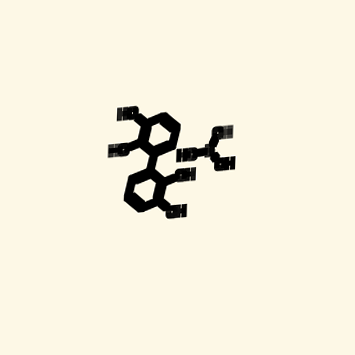 OB(O)O.Oc1cccc(-c2cccc(O)c2O)c1O